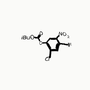 CC(C)COC(=O)Oc1cc([N+](=O)[O-])c(F)cc1Cl